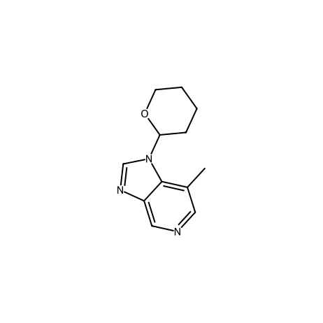 Cc1cncc2ncn(C3CCCCO3)c12